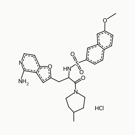 COc1ccc2ccc(S(=O)(=O)NC(Cc3cc4c(N)nccc4o3)C(=O)N3CCC(C)CC3)cc2c1.Cl